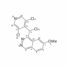 COc1ccc2cnnc(C(Cl)c3c(Cl)cncc3Cl)c2c1